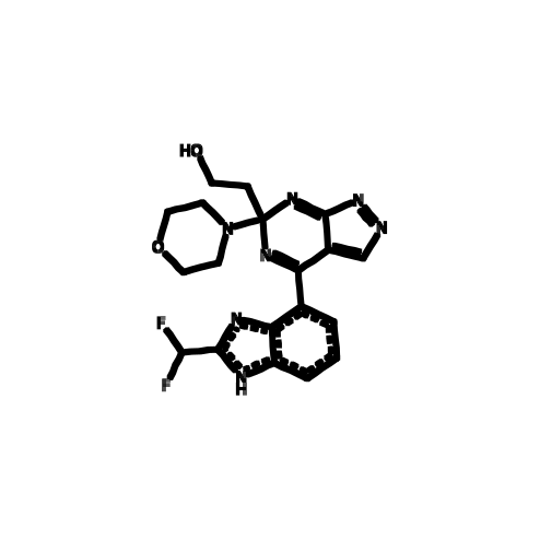 OCCC1(N2CCOCC2)N=C2N=NC=C2C(c2cccc3[nH]c(C(F)F)nc23)=N1